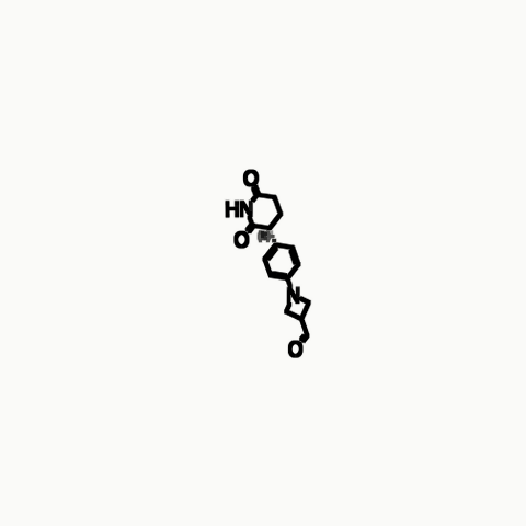 O=CC1CN(c2ccc([C@H]3CCC(=O)NC3=O)cc2)C1